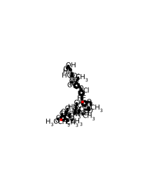 CC1COc2ccccc2N1C(=O)C(Cl)Cl.CCNc1nc(Cl)nc(NC(C)C)n1.CCOc1cc(Oc2ccc(C(F)(F)F)cc2Cl)ccc1[N+](=O)[O-].CCc1cccc(C)c1N(C(=O)CCl)C(C)COC.C[S+](C)C.O=C(O)CNCP(=O)([O-])O